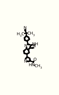 CNC(=O)c1cncc(-c2ccc3nc(-c4ccc(C(C)(C)C#N)cc4)c4[nH]ncc4c3c2)c1